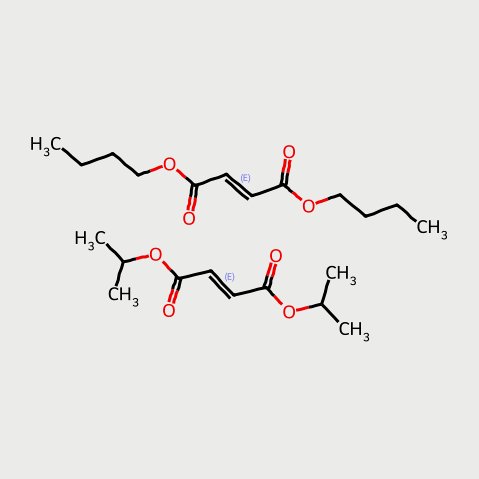 CC(C)OC(=O)/C=C/C(=O)OC(C)C.CCCCOC(=O)/C=C/C(=O)OCCCC